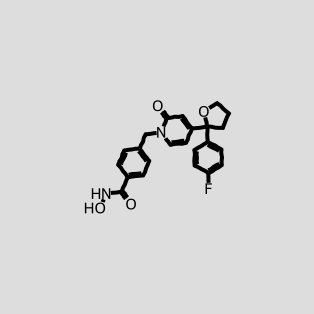 O=C(NO)c1ccc(Cn2ccc(C3(c4ccc(F)cc4)CCCO3)cc2=O)cc1